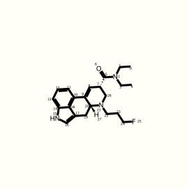 CCN(CC)C(=O)[C@H]1C=C2c3cccc4[nH]cc(c34)C[C@H]2N(CCCF)C1